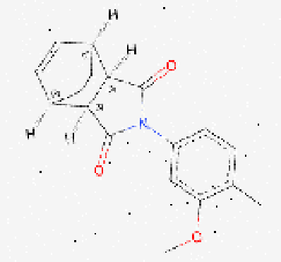 COc1cc(N2C(=O)[C@@H]3[C@H](C2=O)[C@@H]2C=C[C@H]3CC2)ccc1C